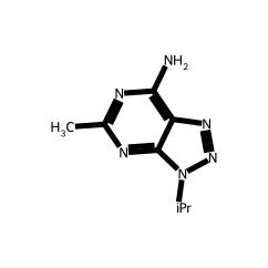 Cc1nc(N)c2nnn(C(C)C)c2n1